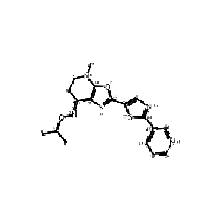 CC(C)O/N=C1\CCN(C)c2oc(-c3cnc(-c4cccnc4)s3)nc21